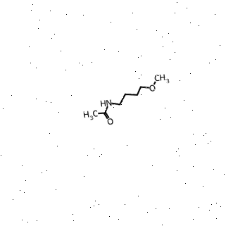 COCCCCNC(C)=O